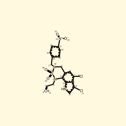 C=CCN1c2c(cc(Cl)c3c(Cl)c[nH]c23)CN(Cc2ccc([N+](=O)[O-])cc2)S1(=O)=O